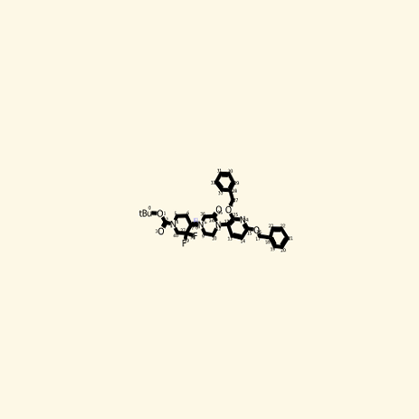 CC(C)(C)OC(=O)N1CC/C(=[N+]2/CCN(c3ccc(OCc4ccccc4)nc3OCc3ccccc3)C(=O)C2)C(F)(F)C1